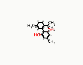 C=C(C)C1=C(C2C(O)=CC(C)=CC2O)C=C(C)CC1